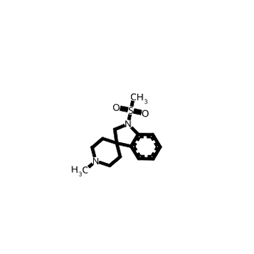 CN1CCC2(CC1)CN(S(C)(=O)=O)c1ccccc12